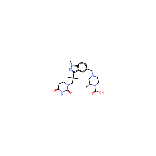 C[C@H]1CN(Cc2ccc3c(c2)c(C(C)(C)CN2CCC(=O)NC2=O)nn3C)CCN1C(=O)O